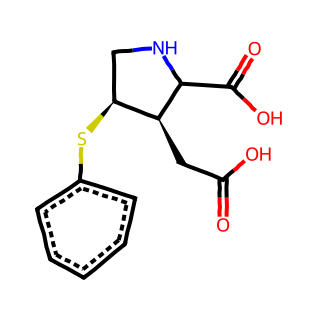 O=C(O)C[C@@H]1C(C(=O)O)NC[C@@H]1Sc1ccccc1